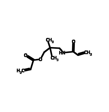 C=CC(=O)NCC(C)(C)COC(=O)C=C